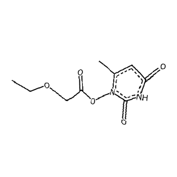 CCOCC(=O)On1c(C)cc(=O)[nH]c1=O